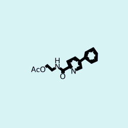 CC(=O)OCCNC(=O)c1ccc(-c2ccccc2)cn1